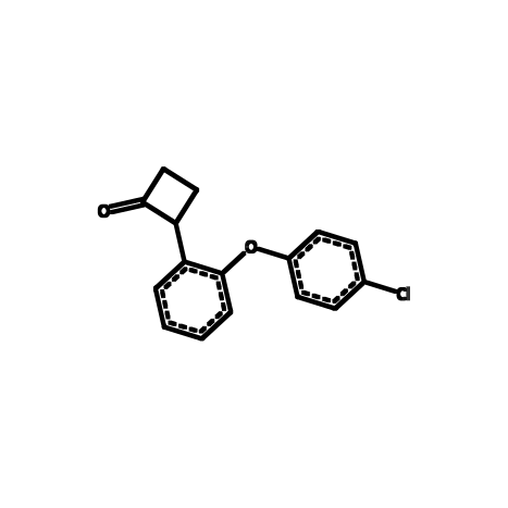 O=C1CCC1c1ccccc1Oc1ccc(Cl)cc1